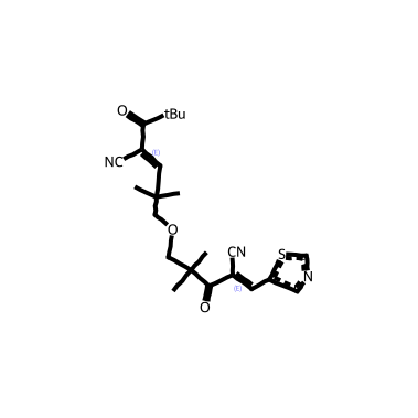 CC(C)(/C=C(\C#N)C(=O)C(C)(C)C)COCC(C)(C)C(=O)/C(C#N)=C/c1cncs1